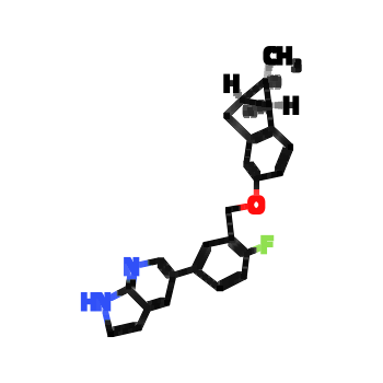 C[C@H]1[C@@H]2Cc3cc(OCc4cc(-c5cnc6[nH]ccc6c5)ccc4F)ccc3[C@H]12